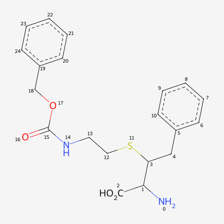 NC(C(=O)O)C(Cc1ccccc1)SCCNC(=O)OCc1ccccc1